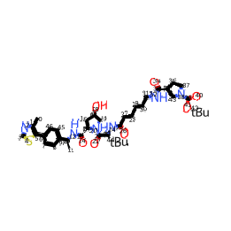 Cc1ncsc1-c1ccc([C@H](C)NC(=O)[C@@H]2C[C@@H](O)CN2C(=O)[C@@H](NC(=O)CCCCCNC(=O)[C@H]2CCN(C(=O)OC(C)(C)C)C2)C(C)(C)C)cc1